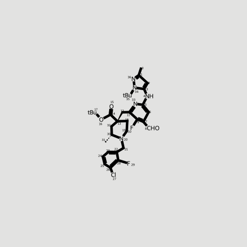 Cc1cc(Nc2cc(C=O)c(F)c(C[C@@]3(C(=O)OC(C)(C)C)CCN(Cc4cccc(Cl)c4F)[C@H](C)C3)n2)n(C(C)(C)C)n1